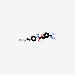 CCOC(=O)CC[C@H]1CC[C@H](NC(=O)c2cc3cc(C(=N)N)ccc3o2)CC1